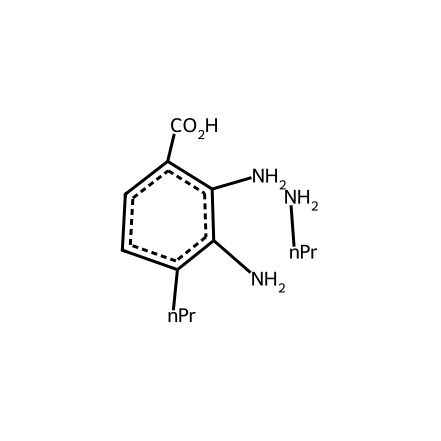 CCCN.CCCc1ccc(C(=O)O)c(N)c1N